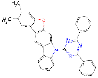 CC1C=c2oc3cc4c(cc3c2=CC1C)c1ccccc1n4-c1nc(-c2ccccc2)nc(-c2ccccc2)n1